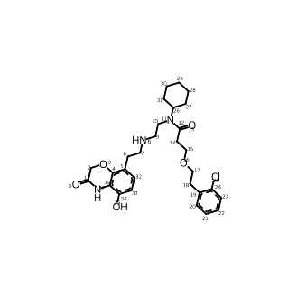 O=C1COc2c(CCNCCN(C(=O)CCOCCc3ccccc3Cl)C3CCCCC3)ccc(O)c2N1